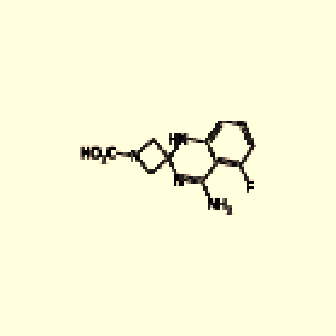 NC1=NC2(CN(C(=O)O)C2)Nc2cccc(F)c21